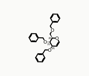 C1=C[C@@H](OCc2ccccc2)[C@H](OCc2ccccc2)[C@@H](COCc2ccccc2)O1